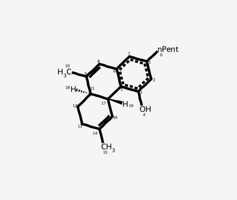 CCCCCc1cc(O)c2c(c1)C=C(C)[C@@H]1CCC(C)=C[C@@H]21